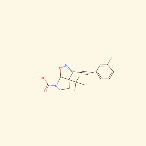 CC(C)(C)C12CCN(C(=O)O)C1ON=C2C#Cc1cccc(Cl)c1